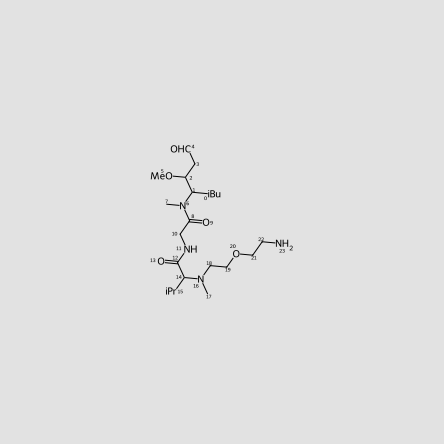 CCC(C)C(C(CC=O)OC)N(C)C(=O)CNC(=O)C(C(C)C)N(C)CCOCCN